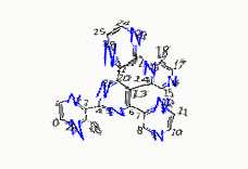 c1cnc(-c2nc(-c3cnccn3)c(-c3cnccn3)c(-c3cnccn3)n2)cn1